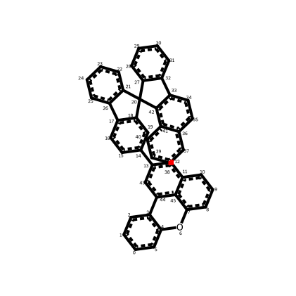 c1ccc2c(c1)Oc1cccc3cc(-c4ccc5c(c4)C4(c6ccccc6-5)c5ccccc5-c5ccc6ccccc6c54)cc-2c13